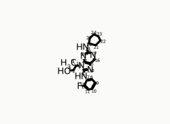 C[C@@H](CO)n1c(Nc2ccccc2F)nc2cnc(NC3CCCCC3)nc21